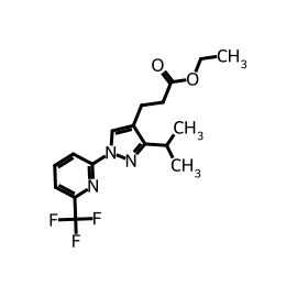 CCOC(=O)CCc1cn(-c2cccc(C(F)(F)F)n2)nc1C(C)C